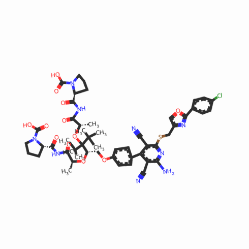 C[C@H](O[C@@H](COc1ccc(-c2c(C#N)c(N)nc(SCc3coc(-c4ccc(Cl)cc4)n3)c2C#N)cc1)C(O[C@@H](C)C(=O)NC(=O)[C@@H]1CCCN1C(=O)O)(C(C)(C)C)C(C)(C)C)C(=O)NC(=O)[C@@H]1CCCN1C(=O)O